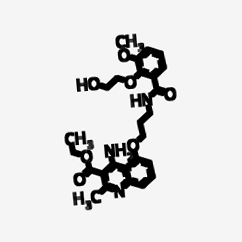 CCOC(=O)c1c(C)nc2cccc(OCCCNC(=O)c3cccc(OC)c3OCCO)c2c1N